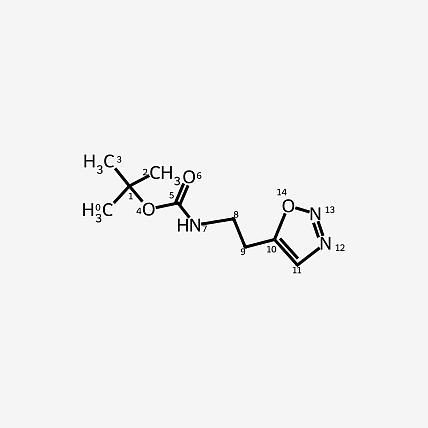 CC(C)(C)OC(=O)NCCc1cnno1